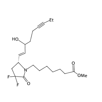 CCC#CCCC(O)/C=C/[C@H]1CC(F)(F)C(=O)N1CCCCCCC(=O)OC